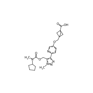 CN(C(=O)OCc1c(-c2ccc(OCC34CC(C(=O)O)(C3)C4)cn2)nnn1C)C1CCCC1